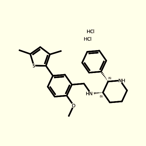 COc1ccc(-c2sc(C)cc2C)cc1CN[C@H]1CCCN[C@H]1c1ccccc1.Cl.Cl